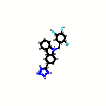 Fc1cc(F)c(Cn2c3ccccc3c3cc(-c4nn[nH]n4)ccc32)cc1F